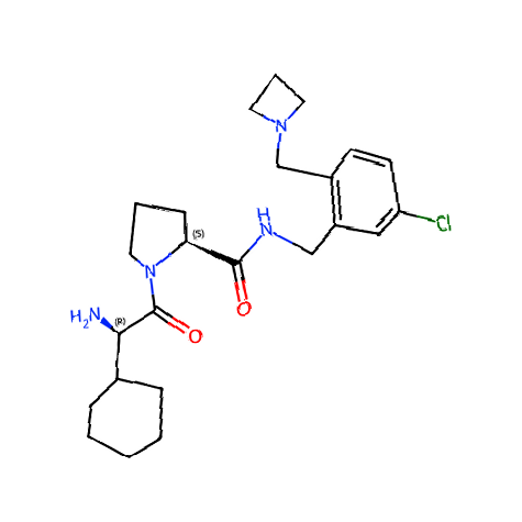 N[C@@H](C(=O)N1CCC[C@H]1C(=O)NCc1cc(Cl)ccc1CN1CCC1)C1CCCCC1